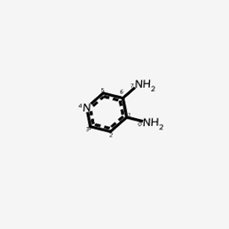 Nc1c[c]ncc1N